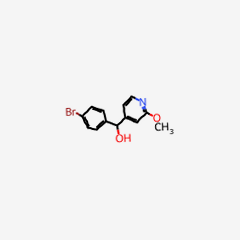 COc1cc(C(O)c2ccc(Br)cc2)ccn1